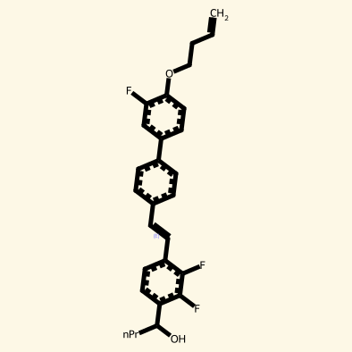 C=CCCOc1ccc(-c2ccc(/C=C/c3ccc(C(O)CCC)c(F)c3F)cc2)cc1F